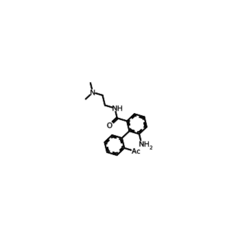 CC(=O)c1ccccc1-c1c(N)cccc1C(=O)NCCN(C)C